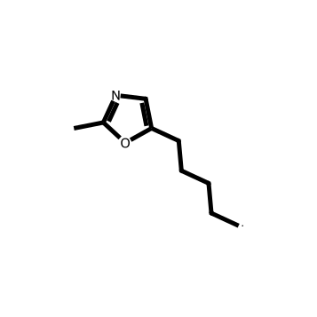 [CH2]CCCCc1cnc(C)o1